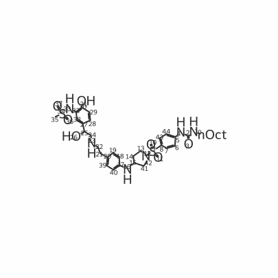 CCCCCCCCNC(=O)Nc1ccc(S(=O)(=O)N2CCC(Nc3ccc(CCNCC(O)c4ccc(O)c(NS(C)(=O)=O)c4)cc3)CC2)cc1